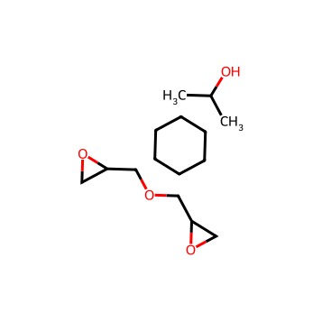 C(OCC1CO1)C1CO1.C1CCCCC1.CC(C)O